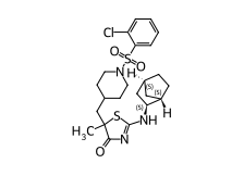 CC1(CC2CCN(S(=O)(=O)c3ccccc3Cl)CC2)SC(N[C@H]2C[C@H]3CC[C@H]2C3)=NC1=O